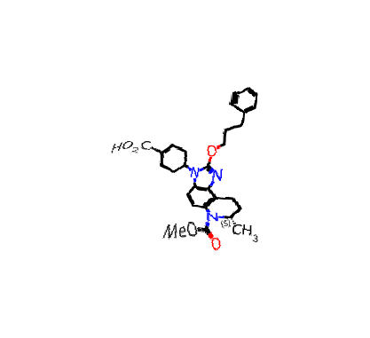 COC(=O)N1c2ccc3c(nc(OCCCc4ccccc4)n3C3CCC(C(=O)O)CC3)c2CC[C@@H]1C